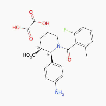 Cc1cccc(F)c1C(=O)N1CCC[C@H](C(=O)O)[C@@H]1c1ccc(N)cc1.O=C(O)C(=O)O